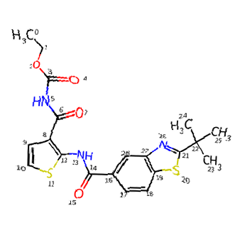 CCOC(=O)NC(=O)c1ccsc1NC(=O)c1ccc2sc(C(C)(C)C)nc2c1